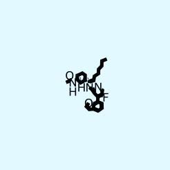 CCCCCCC=C(Nc1cc(-c2cccc3ccoc23)c(F)cn1)[C@H]1CCC[C@@H](NC(C)=O)C1